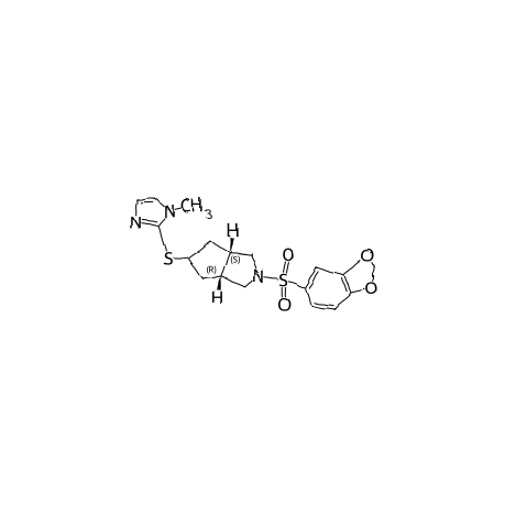 Cn1ccnc1SC1C[C@@H]2CN(S(=O)(=O)c3ccc4c(c3)OCO4)C[C@@H]2C1